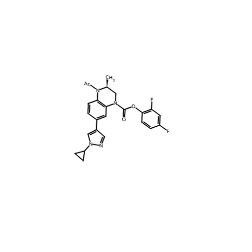 CC(=O)N1c2ccc(-c3cnn(C4CC4)c3)cc2N(C(=O)Oc2ccc(F)cc2F)C[C@@H]1C